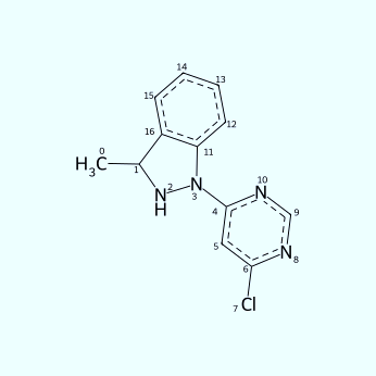 CC1NN(c2cc(Cl)ncn2)c2ccccc21